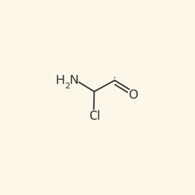 NC(Cl)[C]=O